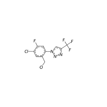 [O]Cc1cc(Cl)c(F)cc1-n1cc(C(F)(F)F)nn1